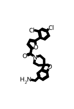 NCc1ccc2c(c1)C1(CCN(C(=O)c3ccc(-c4ccc(Cl)cc4Cl)o3)CC1)CO2